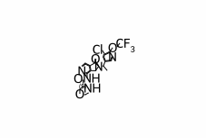 CC(c1cnc(OCC(F)(F)F)c(Cl)c1)N1Cc2c(ccnc2NC(=O)[C@@H]2COCCN2)C1=O